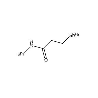 CCCNC(=O)CCSC